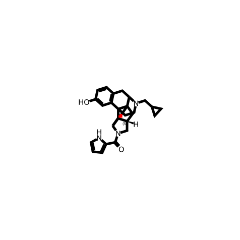 O=C(c1ccc[nH]1)N1C[C@H]2CC34CCC1C2C31CCN(CC2CC2)C4Cc2ccc(O)cc21